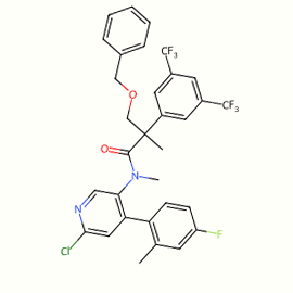 Cc1cc(F)ccc1-c1cc(Cl)ncc1N(C)C(=O)C(C)(COCc1ccccc1)c1cc(C(F)(F)F)cc(C(F)(F)F)c1